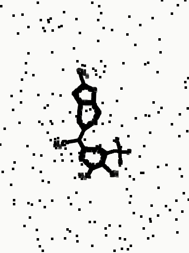 Cc1cc2cc(C(C)c3nc(N)c(S)c(C(F)(F)F)n3)ncc2o1